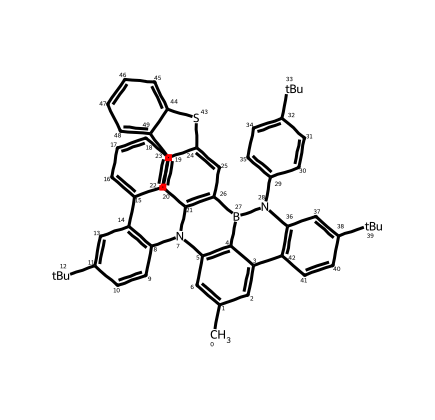 Cc1cc2c3c(c1)N(c1ccc(C(C)(C)C)cc1-c1ccccc1)c1cc4c(cc1B3N(c1ccc(C(C)(C)C)cc1)c1cc(C(C)(C)C)ccc1-2)sc1ccccc14